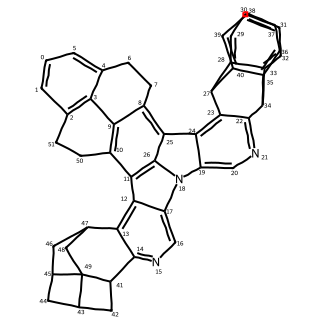 c1cc2c3c(c1)CCc1c-3c(c3c4c5c(ncc4n4c6cnc7c(c6c1c34)C1c3ccccc3C7c3ccccc31)C1CC3CC4CC5CC431)CC2